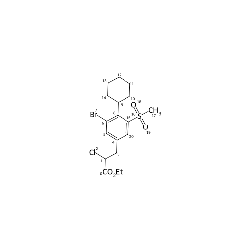 CCOC(=O)C(Cl)Cc1cc(Br)c(C2CCCCC2)c(S(C)(=O)=O)c1